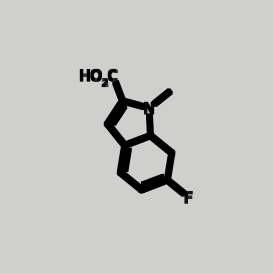 CN1C(C(=O)O)=CC2=CC=C(F)CC21